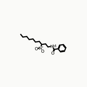 CCCCCCCC(CCNC(=O)c1ccccc1)[N+](=O)[O-]